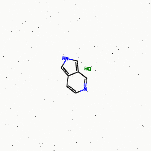 Cl.c1cc2c[nH]cc2cn1